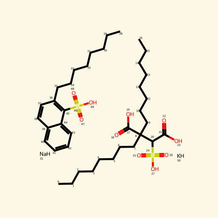 CCCCCCCCC(CCCCCCCC)(C(=O)O)C(C(=O)O)S(=O)(=O)O.CCCCCCCCc1ccc2ccccc2c1S(=O)(=O)O.[KH].[NaH]